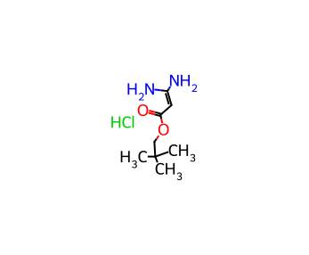 CC(C)(C)COC(=O)C=C(N)N.Cl